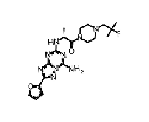 C[C@H](Nc1nc(N)n2nc(-c3ccco3)nc2n1)C(=O)N1CCN(CC(C)(C)F)CC1